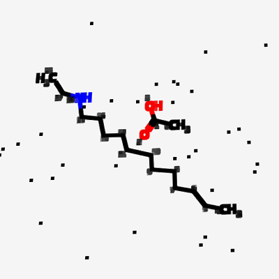 CC(=O)O.CCCCCCCCCCCCNCC